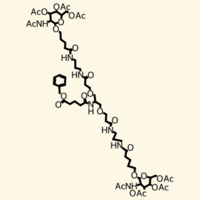 CC(=O)NC1C(OCCCCC(=O)NCCCNC(=O)CCOCC(COCCC(=O)NCCCNC(=O)CCCCOC2OC(COC(C)=O)C(OC(C)=O)C(OC(C)=O)C2NC(C)=O)NC(=O)CCCC(=O)OCc2ccccc2)OC(COC(C)=O)C(OC(C)=O)C1OC(C)=O